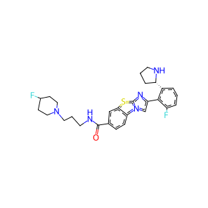 O=C(NCCCN1CCC(F)CC1)c1ccc2c(c1)sc1nc(-c3c(F)cccc3[C@@H]3CCCN3)cn12